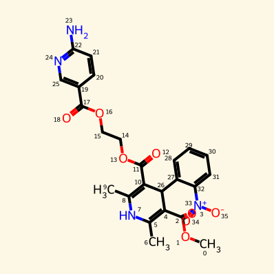 COC(=O)C1=C(C)NC(C)=C(C(=O)OCCOC(=O)c2ccc(N)nc2)C1c1ccccc1[N+](=O)[O-]